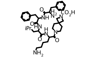 CC(C)CC(NC(=O)C(Cc1ccccc1)NC(=O)C(N)Cc1ccccc1)C(=O)NC(CCCCN)C(=O)N1CCC2(CC1)CN(C(=O)O)C2